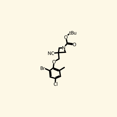 Cc1cc(Cl)cc(Br)c1OCC1(C#N)CN(C(=O)OC(C)(C)C)C1